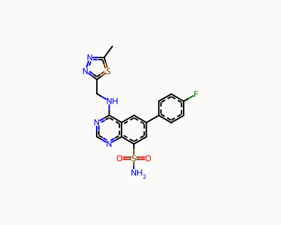 Cc1nnc(CNc2ncnc3c(S(N)(=O)=O)cc(-c4ccc(F)cc4)cc23)s1